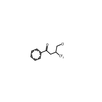 O=C(CC(CCl)C(F)(F)F)c1ccccc1